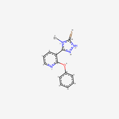 CCn1c(-c2cccnc2Oc2ccccc2)n[nH]c1=S